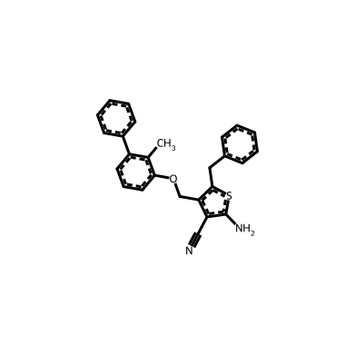 Cc1c(OCc2c(Cc3ccccc3)sc(N)c2C#N)cccc1-c1ccccc1